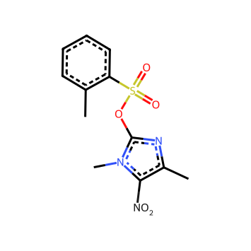 Cc1ccccc1S(=O)(=O)Oc1nc(C)c([N+](=O)[O-])n1C